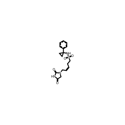 O=C1CN(C/C=C\CCS(=O)(=O)NC2(c3ccccc3)CC2)C(=O)N1